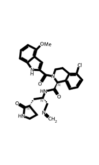 C=NC[C@H](C[C@@H]1CCNC1=O)NC(=O)[C@@H]1c2cccc(Cl)c2CCN1C(=O)c1cc2c(OC)cccc2[nH]1